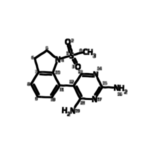 CS(=O)(=O)N1CCc2cccc(-c3cnc(N)nc3N)c21